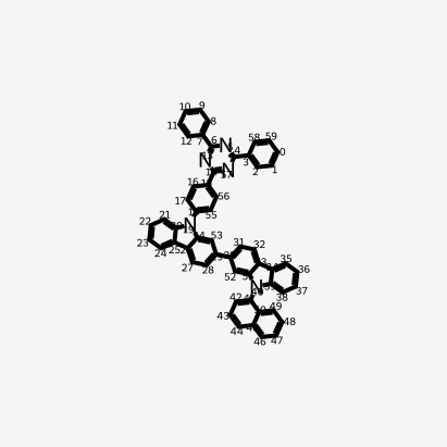 c1ccc(-c2nc(-c3ccccc3)nc(-c3ccc(-n4c5ccccc5c5ccc(-c6ccc7c8ccccc8n(-c8cccc9ccccc89)c7c6)cc54)cc3)n2)cc1